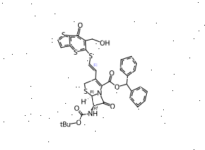 CC(C)(C)OC(=O)N[C@@H]1C(=O)N2C(C(=O)OC(c3ccccc3)c3ccccc3)=C(/C=C/Sc3sc4ccsc4c(=O)c3CO)CS[C@H]12